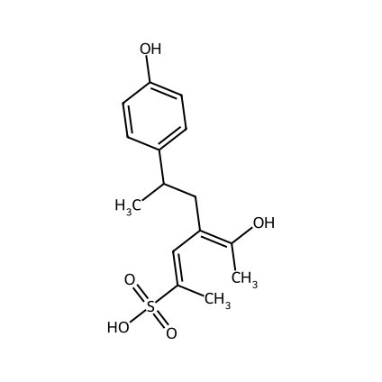 C/C(=C\C(CC(C)c1ccc(O)cc1)=C(/C)O)S(=O)(=O)O